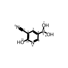 N#Cc1cc(B(O)O)cnc1O